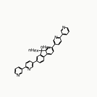 CCCCCCC1(CCCCCC)c2cc(-c3ccc(-c4cccnc4)nc3)ccc2-c2ccc(-c3ccc(-c4cccnc4)nc3)cc21